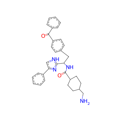 NCC1CCC(C(=O)NC(Cc2ccc(C(=O)c3ccccc3)cc2)c2nc(-c3ccccc3)c[nH]2)CC1